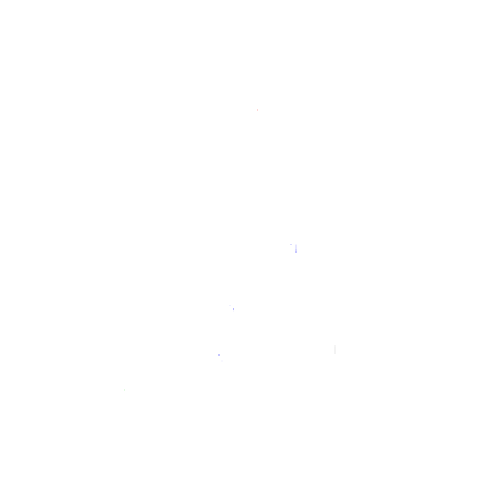 COc1ccc(CNC(=O)c2cnc(Nc3cccc(Cl)c3)cc2C(C)C)cc1